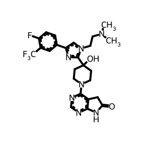 CN(C)CCn1cc(-c2ccc(F)c(C(F)(F)F)c2)nc1C1(O)CCN(c2ncnc3c2CC(=O)N3)CC1